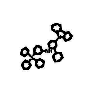 c1ccc(-c2cc(-n3c4ccccc4c4ccccc43)ccc2Nc2cccc(S(c3ccccc3)(c3ccccc3)c3ccccc3)c2)cc1